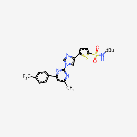 CC(C)(C)NS(=O)(=O)c1ccc(-c2cn(-c3nc(-c4ccc(C(F)(F)F)cc4)cc(C(F)(F)F)n3)cn2)s1